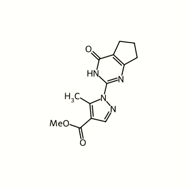 COC(=O)c1cnn(-c2nc3c(c(=O)[nH]2)CCC3)c1C